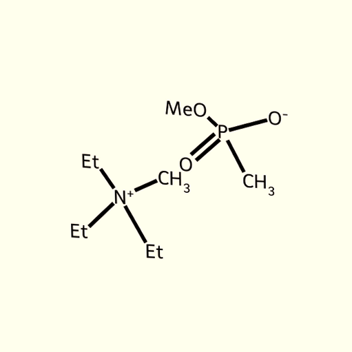 CC[N+](C)(CC)CC.COP(C)(=O)[O-]